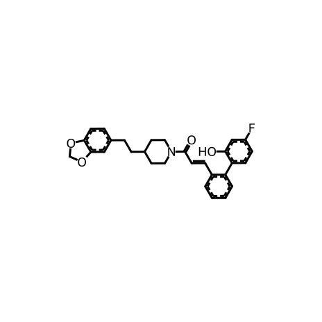 O=C(/C=C/c1ccccc1-c1ccc(F)cc1O)N1CCC(CCc2ccc3c(c2)OCO3)CC1